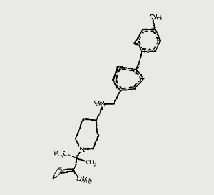 COC(=O)C(C)(C)N1CCC(NCc2ccc(-c3ccc(O)cc3)cc2)CC1